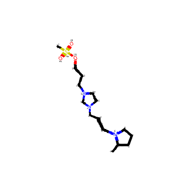 CC1CCCN1CCCN1[C]N(CCCOS(C)(=O)=O)CC1